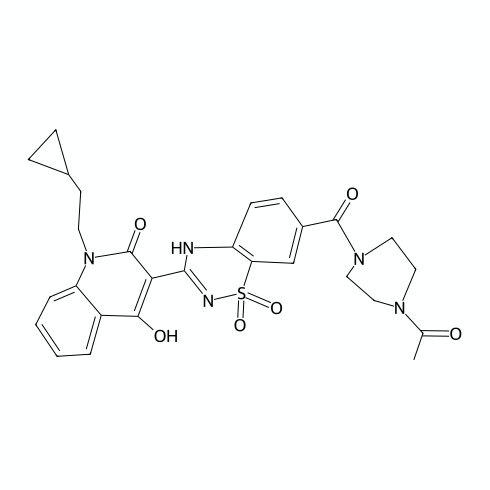 CC(=O)N1CCN(C(=O)c2ccc3c(c2)S(=O)(=O)N=C(c2c(O)c4ccccc4n(CCC4CC4)c2=O)N3)CC1